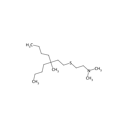 CCCCC(C)(CCCC)CCSCCN(C)C